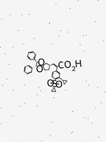 O=C(O)C(=C[C@H]1CCC2(C1)O[C@H](c1ccccc1)[C@@H](c1ccccc1)O2)c1ccc(S(=O)(=O)C2CC2)c(C2CC2)c1